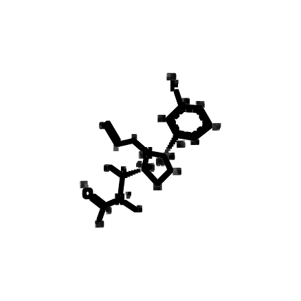 C=CCN1[C@@H](C(C)N(C)C(C)=O)CC[C@H]1c1cccc(F)c1